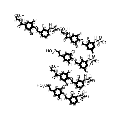 CCS(=O)(=O)Nc1cc(C)cc(COc2c(Br)cc(C(=O)NCC(=O)O)cc2Br)c1F.CCS(=O)(=O)Nc1cc(C)cc(COc2c(Cl)cc(CCC(=O)O)cc2Cl)c1F.CCS(=O)(=O)Nc1cccc(COc2c(Br)cc(C(=O)NCC(=O)O)cc2Br)c1Cl.CCS(=O)(=O)Nc1cccc(COc2c(Br)cc(C(=O)NCC(=O)O)cc2Br)c1F.CCS(=O)(=O)Nc1cccc(COc2c(Cl)cc(CCC(=O)O)cc2Cl)c1Cl